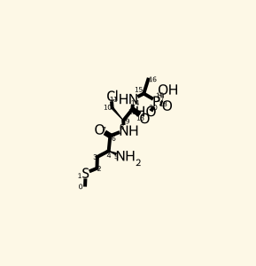 CSCC[C@H](N)C(=O)N[C@@H](CCl)C(=O)NC(C)P(=O)(O)O